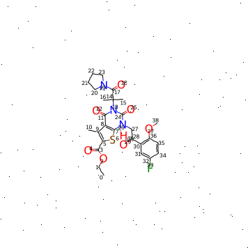 CCOC(=O)c1sc2c(c1C)c(=O)n(C(C)(C)C(=O)N1CCCC1)c(=O)n2C[C@H](O)c1cc(F)ccc1OC